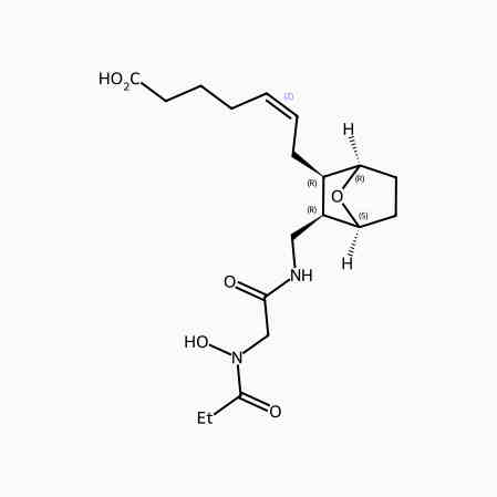 CCC(=O)N(O)CC(=O)NC[C@H]1[C@@H](C/C=C\CCCC(=O)O)[C@H]2CC[C@@H]1O2